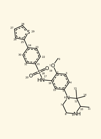 COc1ccc(N2CCNC(C)C2(C)C)cc1NS(=O)(=O)c1ccc(-c2cccs2)cc1